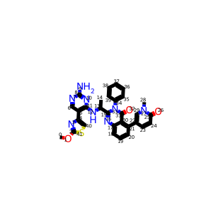 COc1nc(-c2cnc(N)nc2NC(C)c2nc3cccc(-c4ccc(=O)n(C)c4)c3c(=O)n2-c2ccccc2)cs1